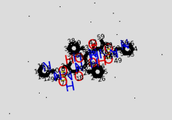 CC(C)[C@H](NS(=O)(=O)N(C)Cc1ccccn1)C(=O)N[C@@H](Cc1ccccc1)[C@H](O)[C@@H](O)[C@H](Cc1ccccc1)NC(=O)[C@@H](NS(=O)(=O)N(C)Cc1ccccn1)C(C)C